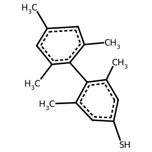 Cc1cc(C)c(-c2c(C)cc(S)cc2C)c(C)c1